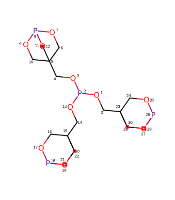 C(OP(OCC12COP(OC1)OC2)OCC12COP(OC1)OC2)C12COP(OC1)OC2